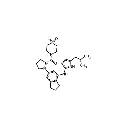 CC(C)Cc1cnc(Nc2nc(N3CCC[C@@H]3C(=O)N3CCS(=O)(=O)CC3)nc3c2CCC3)[nH]1